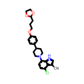 N#Cc1c[nH]c2c(N3CCC(c4ccc(OCCCC5OCCO5)cc4)CC3)ccc(Cl)c12